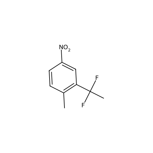 Cc1ccc([N+](=O)[O-])cc1C(C)(F)F